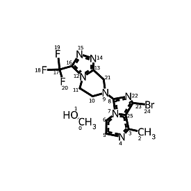 CO.Cc1nccn2c(N3CCn4c(nnc4C(F)(F)F)C3)nc(Br)c12